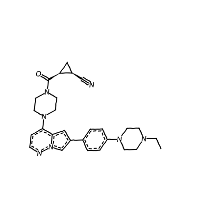 CCN1CCN(c2ccc(-c3cc4c(N5CCN(C(=O)[C@H]6C[C@H]6C#N)CC5)ccnn4c3)cc2)CC1